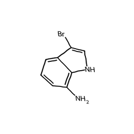 Nc1cccc2c(Br)c[nH]c12